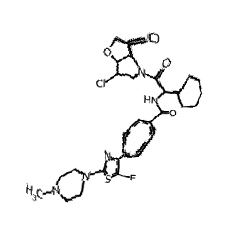 CN1CCN(c2nc(-c3ccc(C(=O)NC(C(=O)N4CC(Cl)C5OCC(=O)C54)C4CCCCC4)cc3)c(F)s2)CC1